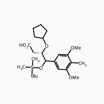 COc1cc(C(O[Si](C)(C)C(C)(C)C)[C@H](CC(=O)O)OC2CCCC2)cc(OC)c1C